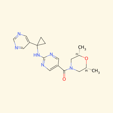 C[C@@H]1CN(C(=O)c2cnc(NC3(c4cncnc4)CC3)nc2)C[C@H](C)O1